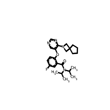 CC(C)N(C(=O)c1cc(F)ccc1Oc1cncnc1N1CC2(CCCC2)C1)C(C)C